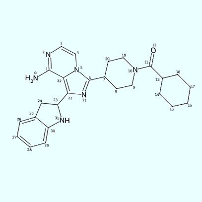 Nc1nccn2c(C3CCN(C(=O)C4CCCCC4)CC3)nc(C3Cc4ccccc4N3)c12